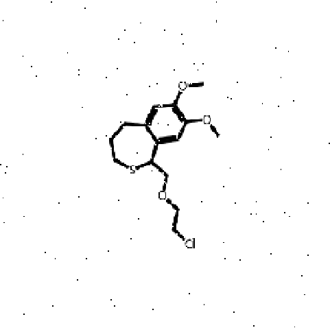 COc1cc2c(cc1OC)C(COCCCl)SCCC2